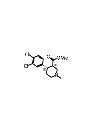 COC(=O)[C@H]1CN(C)CC[C@@H]1c1ccc(Cl)c(Cl)c1